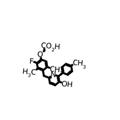 Cc1ccc(-c2nc(Cc3c(C)cc(OCC(=O)O)c(F)c3C)ccc2O)cc1